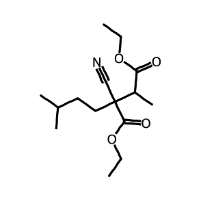 CCOC(=O)C(C)C(C#N)(CCC(C)C)C(=O)OCC